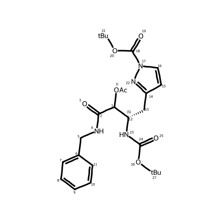 CC(=O)OC(C(=O)NCc1ccccc1)[C@H](Cc1ccn(C(=O)OC(C)(C)C)n1)NC(=O)OC(C)(C)C